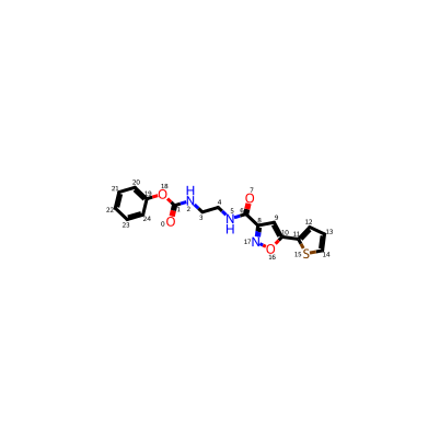 O=C(NCCNC(=O)c1cc(-c2cccs2)on1)Oc1ccccc1